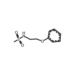 CS(=O)(=O)NCCOc1cc[c]cc1